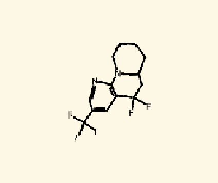 FC(F)(F)c1cnc2c(c1)C(F)(F)CC1CCCCN21